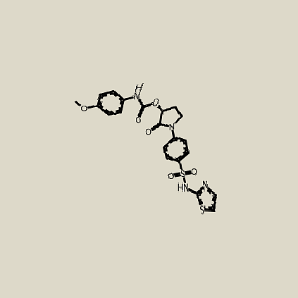 COc1ccc(NC(=O)O[C@H]2CCN(c3ccc(S(=O)(=O)Nc4nccs4)cc3)C2=O)cc1